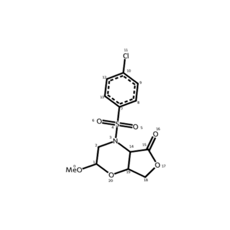 COC1CN(S(=O)(=O)c2ccc(Cl)cc2)C2C(=O)OCC2O1